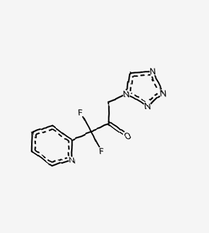 O=C(Cn1cnnn1)C(F)(F)c1ccccn1